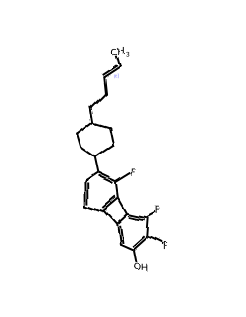 C/C=C/CCC1CCC(c2ccc3c(c2F)-c2c-3cc(O)c(F)c2F)CC1